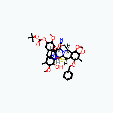 COc1cc2c(cc1OC(=O)OC(C)(C)C)CCN[C@]21CS[C@@H]2c3c(OCc4ccccc4)c(C)c4c(c3[C@H](COC1=O)N1C2[C@H]2c3c(cc(C)c(OC)c3O)C[C@@H]([C@@H]1C#N)N2C)OCO4